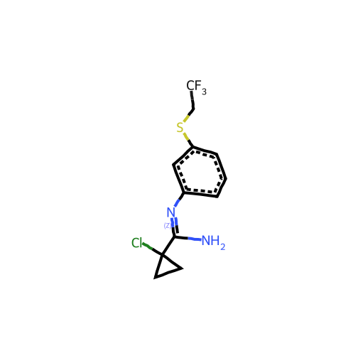 N/C(=N\c1cccc(SCC(F)(F)F)c1)C1(Cl)CC1